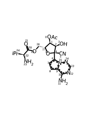 CC(=O)O[C@H]1[C@@H](O)[C@](C#N)(c2ccc3c(N)ncnn23)O[C@@H]1COC(=O)[C@@H](N)C(C)C